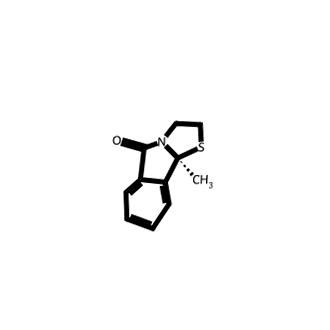 C[C@@]12SCCN1C(=O)c1ccccc12